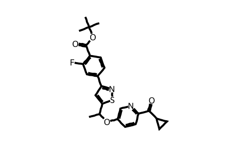 CC(Oc1ccc(C(=O)C2CC2)nc1)c1cc(-c2ccc(C(=O)OC(C)(C)C)c(F)c2)ns1